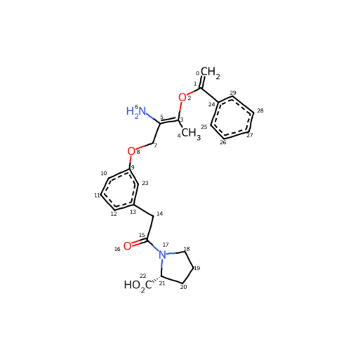 C=C(O/C(C)=C(\N)COc1cccc(CC(=O)N2CCC[C@@H]2C(=O)O)c1)c1ccccc1